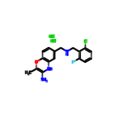 CC1=C(N)Nc2cc(CNCc3c(F)cccc3Cl)ccc2O1.Cl.Cl